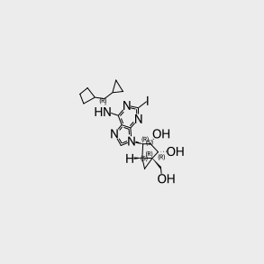 OC[C@@]12C[C@@H]1[C@@H](n1cnc3c(N[C@H](C4CCC4)C4CC4)nc(I)nc31)[C@H](O)[C@@H]2O